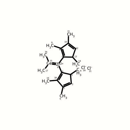 CC1=CC(C)[C]([Zr+2]([C]2=C(C)C(C)=CC2C)=[Ge]([CH3])[CH3])=C1C.[Cl-].[Cl-]